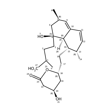 CC(CC[C@]1(O)C[C@@H](C)C=C2C=C[C@H](C)[C@H](CC[C@@H]3C[C@@H](O)CC(=O)O3)[C@H]21)C(=O)O